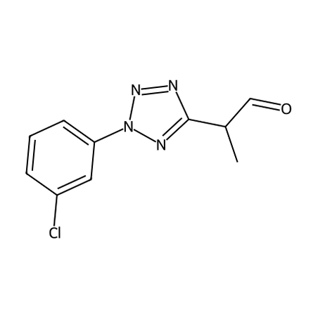 CC(C=O)c1nnn(-c2cccc(Cl)c2)n1